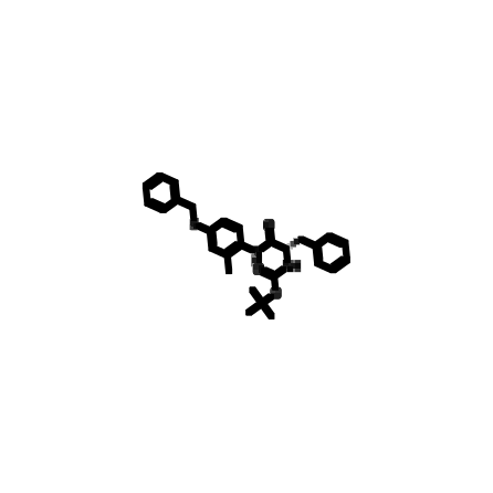 Cc1cc(SCc2ccccc2)ccc1NC(=O)[C@H](Cc1ccccc1)NC(=O)OC(C)(C)C